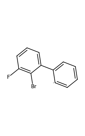 Fc1cccc(-c2[c]cccc2)c1Br